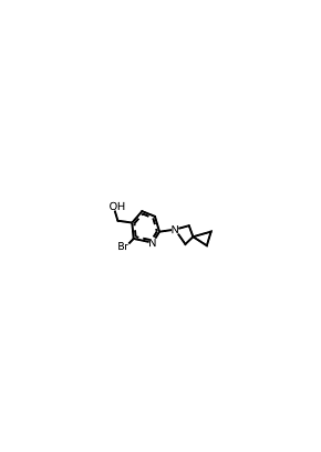 OCc1ccc(N2CC3(CC3)C2)nc1Br